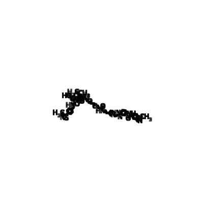 Cc1ncsc1-c1ccc(CNC(=O)[C@@H]2C[C@@H](O)CN2C(=O)[C@@H](NC(=O)CCOCCOCCC(=O)NCCC2CCN(Cc3nc4cc(NC(=O)c5ccc6c(cnn6C)c5)ccc4[nH]3)C2)C(C)(C)C)cc1